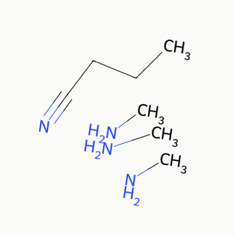 CCCC#N.CN.CN.CN